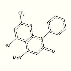 CNc1cc(=O)n(-c2ccccc2)c2nc(C(F)(F)F)cc(O)c12